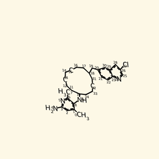 Cc1cc(N)nc(C)c1NC1CCCCCCCC(Cc2ccc3ncc(Cl)cc3c2)CCCC1